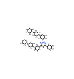 c1ccc(-c2ccc(-c3cccc(-c4cc(-c5ccccc5)nc(-c5cccc(-c6ccc(-c7ccccc7)cc6)c5)n4)c3)cc2)cc1